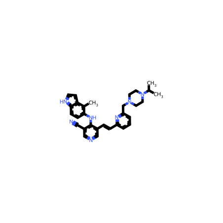 Cc1c(Nc2c(C#N)cncc2/C=C/c2cccc(CN3CCN(C(C)C)CC3)n2)ccc2[nH]ccc12